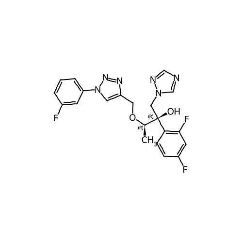 C[C@@H](OCc1cn(-c2cccc(F)c2)nn1)[C@](O)(Cn1cncn1)c1ccc(F)cc1F